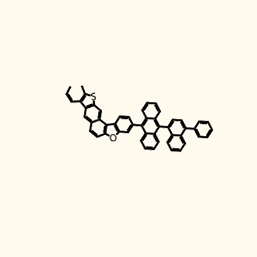 C/C=C\c1c(C)sc2cc3c(ccc4oc5cc(-c6c7ccccc7c(-c7ccc(-c8ccccc8)c8ccccc78)c7ccccc67)ccc5c43)cc12